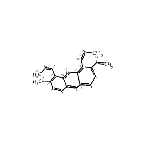 C=Cc1ccc2cc3ccc(C)c(/C=C\C)c3nc2c1/C=C\C